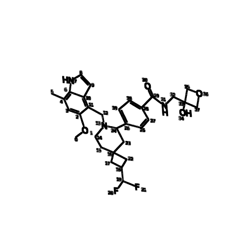 COc1cc(C)c2[nH]ccc2c1CN1CCC2(CC(C(F)F)C2)CC1c1ccc(C(=O)NCC2(O)COC2)cc1